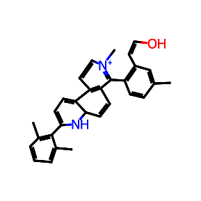 Cc1ccc(-c2c3c(cc[n+]2C)C2=CC=C(c4c(C)cccc4C)NC2C=C3)c(/C=C\O)c1